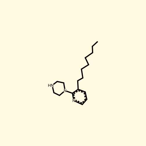 CCCCCCCCc1cccnc1N1CCNCC1